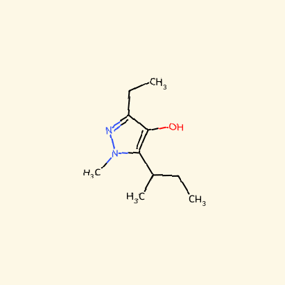 CCc1nn(C)c(C(C)CC)c1O